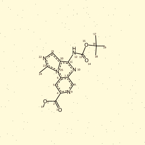 COC(=O)c1cc2c(cn1)nc(NC(=O)OC(C)(C)C)c1cnc(C)n12